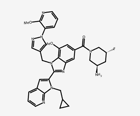 COc1ncccc1-n1cc(Cn2c(-c3cc4cccnc4n3CC3CC3)nc3cc(C(=O)N4C[C@H](N)C[C@@H](F)C4)cc(OC)c32)cn1